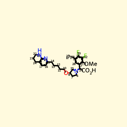 COc1c(C(C(=O)O)N2CC[C@@H](OCCCCCc3ccc4c(n3)NCCC4)C2)cc(C(C)C)c(F)c1F